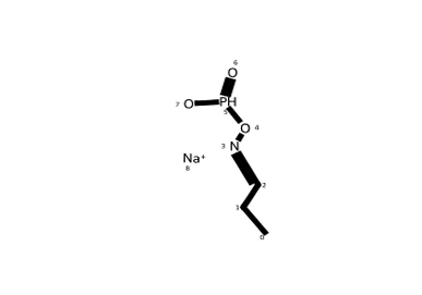 CCC=NO[PH](=O)[O-].[Na+]